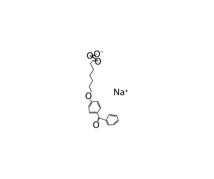 O=C(c1ccccc1)c1ccc(OCCCCCCS(=O)(=O)[O-])cc1.[Na+]